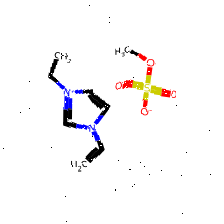 C=Cn1cc[n+](CC)c1.COS(=O)(=O)[O-]